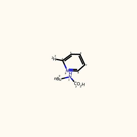 CCCCNC(=O)O.[2H]c1ccccn1